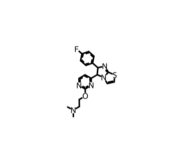 CN(C)CCOc1nccc(C2C(c3ccc(F)cc3)N=C3SC=CN32)n1